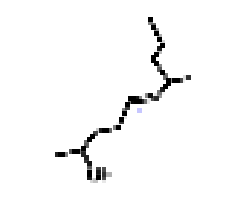 CCCC(C)/C=C/CCC(C)O